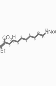 CCC=C(CCCCCCCCCCCCCCCCCC)C(=O)O